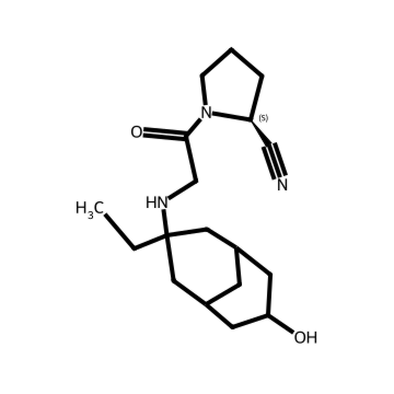 CCC1(NCC(=O)N2CCC[C@H]2C#N)CC2CC(O)CC(C2)C1